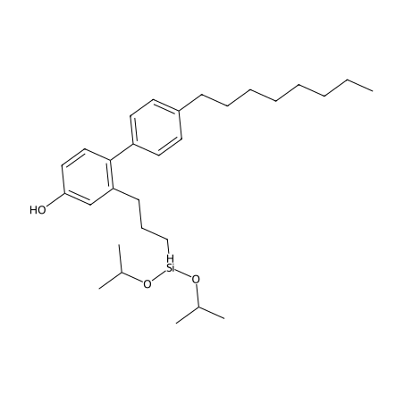 CCCCCCCCc1ccc(-c2ccc(O)cc2CCC[SiH](OC(C)C)OC(C)C)cc1